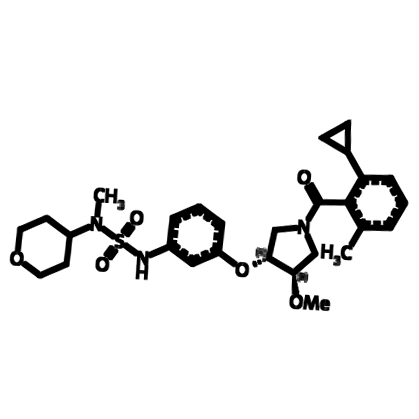 CO[C@@H]1CN(C(=O)c2c(C)cccc2C2CC2)C[C@H]1Oc1cccc(NS(=O)(=O)N(C)C2CCOCC2)c1